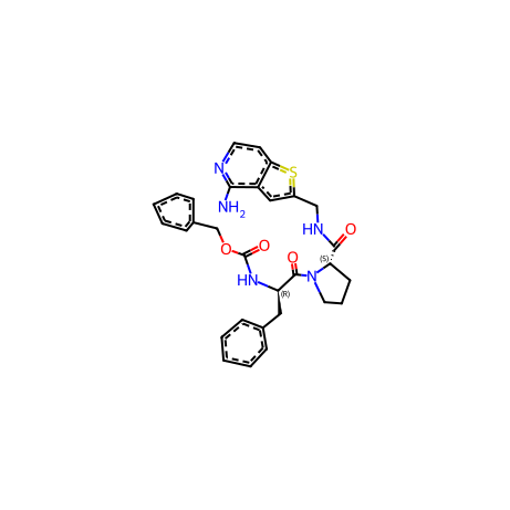 Nc1nccc2sc(CNC(=O)[C@@H]3CCCN3C(=O)[C@@H](Cc3ccccc3)NC(=O)OCc3ccccc3)cc12